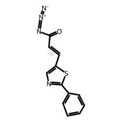 [N-]=[N+]=NC(=O)/C=C/c1cnc(-c2ccccc2)s1